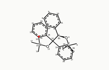 C[Si](C)(C)O[C@H](c1ccccc1)C(O[Si](C)(C)C)(c1ccccc1)c1ccccc1